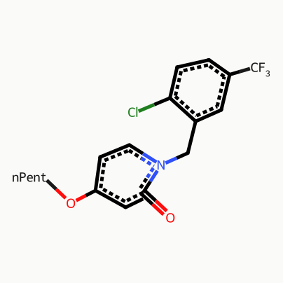 CCCCCOc1ccn(Cc2cc(C(F)(F)F)ccc2Cl)c(=O)c1